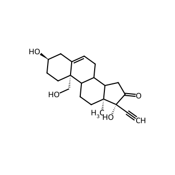 C#C[C@]1(O)C(=O)CC2C3CC=C4C[C@H](O)CC[C@]4(CO)C3CC[C@@]21C